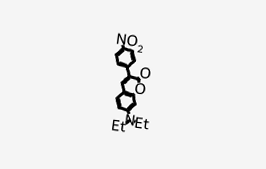 CCN(CC)c1ccc2cc(-c3ccc([N+](=O)[O-])cc3)c(=O)oc2c1